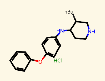 CCCCC1CNCCC1Nc1ccc(Oc2ccccc2)cc1.Cl